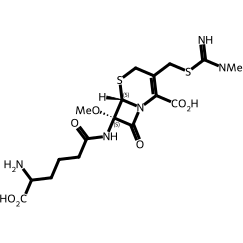 CNC(=N)SCC1=C(C(=O)O)N2C(=O)[C@](NC(=O)CCCC(N)C(=O)O)(OC)[C@@H]2SC1